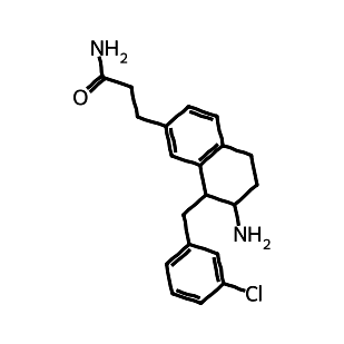 NC(=O)CCc1ccc2c(c1)C(Cc1cccc(Cl)c1)C(N)CC2